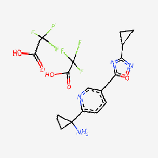 NC1(c2ccc(-c3nc(C4CC4)no3)cn2)CC1.O=C(O)C(F)(F)F.O=C(O)C(F)(F)F